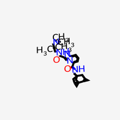 CN(C)CC(C)(C)CNC(=O)c1cn2c(C(=O)NCC34CC5CC5C5(CC5C3)C4)cccc2n1